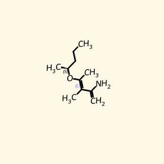 C=C(N)/C(C)=C(\C)O[C@@H](C)CCC